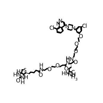 CC1(CC[C@H](NC(=O)CCOCCOCCNC(=O)CCCC[C@@H]2SC[C@@H]3NC(=O)N[C@@H]32)C(=O)NCCOCCOCCOc2cc(Cl)cc(N3CCN(c4cnnc5c(Cl)cccc45)CC3)c2)NN1